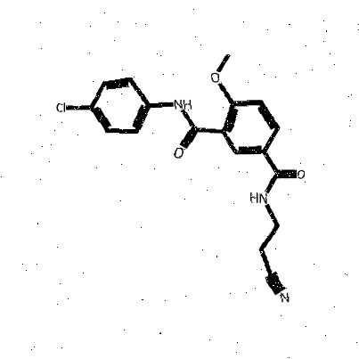 COc1ccc(C(=O)NCCC#N)cc1C(=O)Nc1ccc(Cl)cc1